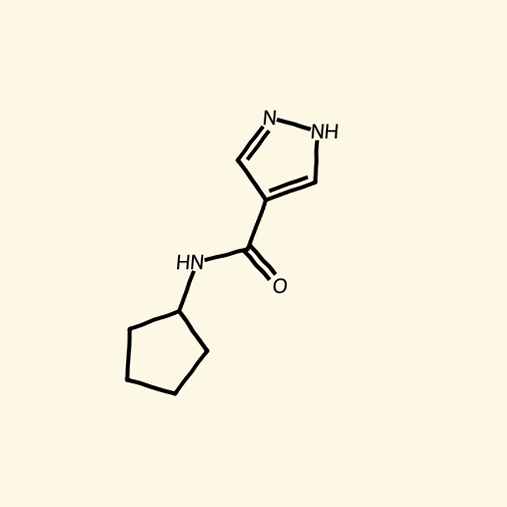 O=C(NC1CCCC1)c1cn[nH]c1